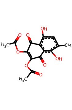 CC(=O)OC1=C(OC(C)=O)C(=O)c2c(O)c(C)cc(O)c2C1=O